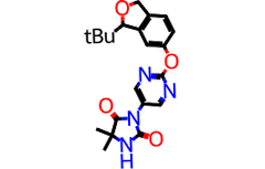 CC1(C)NC(=O)N(c2cnc(Oc3ccc4c(c3)C(C(C)(C)C)OC4)nc2)C1=O